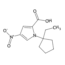 CCC1(n2cc([N+](=O)[O-])cc2C(=O)O)CCCC1